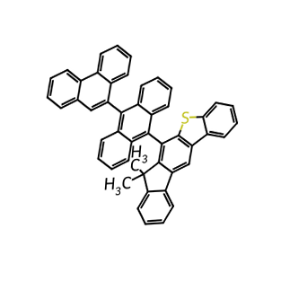 CC1(C)c2ccccc2-c2cc3c(sc4ccccc43)c(-c3c4ccccc4c(-c4cc5ccccc5c5ccccc45)c4ccccc34)c21